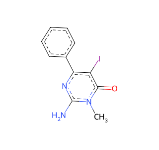 Cn1c(N)nc(-c2ccccc2)c(I)c1=O